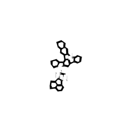 c1ccc2cc3c(cc2c1)c1c2c4ccccc4n(-c4cnc5c(n4)-c4cccc6cccc-5c46)c2cc2c4ccccc4n3c21